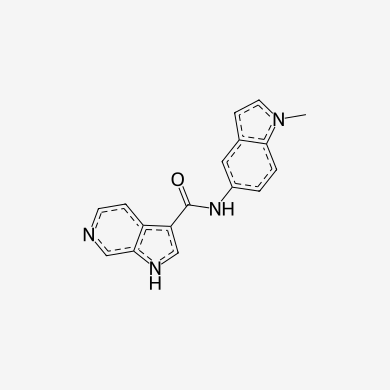 Cn1ccc2cc(NC(=O)c3c[nH]c4cnccc34)ccc21